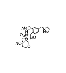 COc1cc(Cn2cccn2)cc2onc(NS(=O)(=O)CC3(C#N)CCOCC3)c12